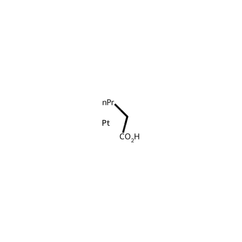 CCCCC(=O)O.[Pt]